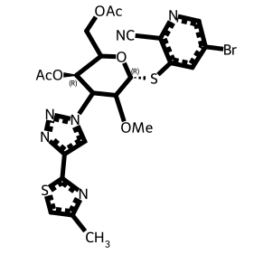 COC1C(n2cc(-c3nc(C)cs3)nn2)[C@@H](OC(C)=O)C(COC(C)=O)O[C@@H]1Sc1cc(Br)cnc1C#N